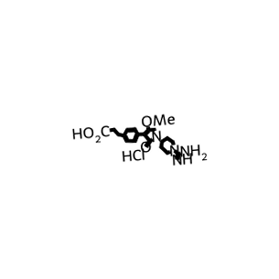 COC1=C(c2ccc(CCC(=O)O)cc2)C(=O)N(C2CCN(C(=N)N)CC2)C1.Cl